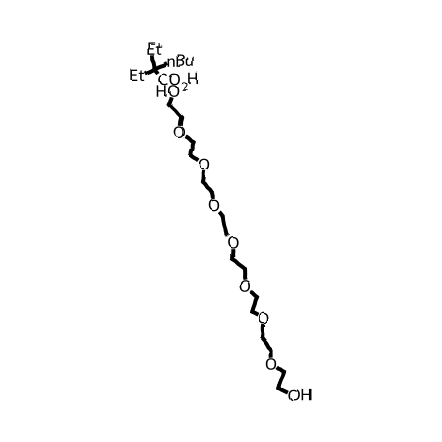 CCCCC(CC)(CC)C(=O)O.OCCOCCOCCOCCOCCOCCOCCOCCO